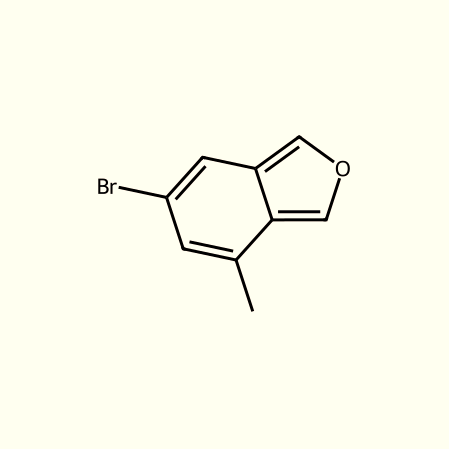 Cc1cc(Br)cc2cocc12